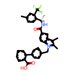 Cc1ccc([C@H](C)NC(=O)c2ccc3c(c2)c(C)c(C)n3Cc2ccc(-c3ccccc3C(=O)O)cc2)c(C(F)(F)F)c1